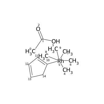 CC(=O)O.[CH3][Rh]([CH3])([CH3])([CH3])([CH3])[C]1=CC=CC1